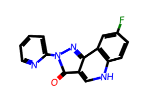 O=c1c2c[nH]c3ccc(F)cc3c-2nn1-c1ccccn1